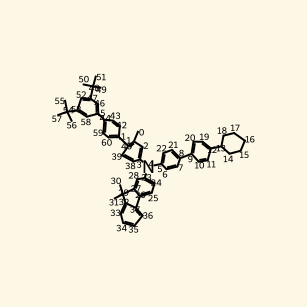 Cc1cc(N(c2ccc(-c3ccc(C4CCCCC4)cc3)cc2)c2ccc3c(c2)C(C)(C)c2ccccc2-3)ccc1-c1ccc(-c2cc(C(C)(C)C)cc(C(C)(C)C)c2)cc1